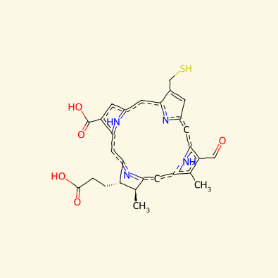 Cc1c(C=O)c2cc3nc(cc4cc(C(=O)O)c(cc5nc(cc1[nH]2)[C@@H](C)[C@@H]5CCC(=O)O)[nH]4)C(CS)=C3